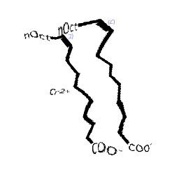 CCCCCCCC/C=C\CCCCCCCC(=O)[O-].CCCCCCCC/C=C\CCCCCCCC(=O)[O-].[Cr+2]